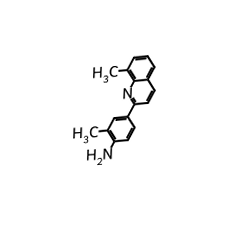 Cc1cc(-c2ccc3cccc(C)c3n2)ccc1N